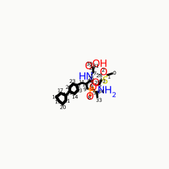 CC(=O)SCCOP(=O)(CC(Cc1ccc(-c2ccccc2)cc1)C(=O)N[C@@H](C)C(=O)O)C(C)N